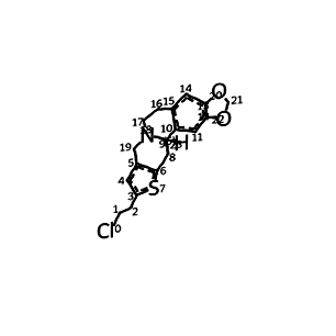 ClCCc1cc2c(s1)C[C@H]1c3cc4c(cc3CCN1C2)OCO4